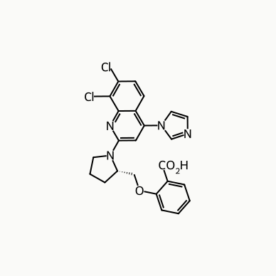 O=C(O)c1ccccc1OC[C@@H]1CCCN1c1cc(-n2ccnc2)c2ccc(Cl)c(Cl)c2n1